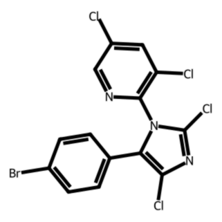 Clc1cnc(-n2c(Cl)nc(Cl)c2-c2ccc(Br)cc2)c(Cl)c1